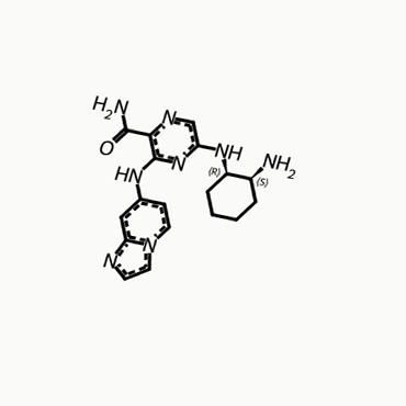 NC(=O)c1ncc(N[C@@H]2CCCC[C@@H]2N)nc1Nc1ccn2ccnc2c1